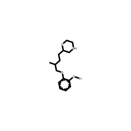 CCOc1ccccc1OCC(C)CCC1CNCCO1